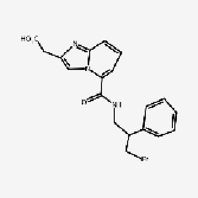 CC(C)CC(CNC(=O)c1cccc2nc(CC(=O)O)cn12)c1ccccc1